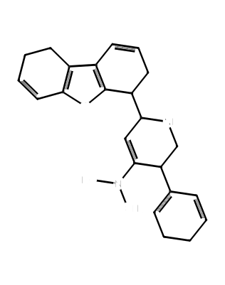 CN(C)C1=CC(C2CC=Cc3c2sc2c3CCC=C2)NCC1C1=CCCC=C1